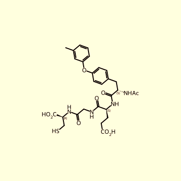 CC(=O)N[C@@H](Cc1ccc(Oc2cccc(C)c2)cc1)C(=O)N[C@@H](CCC(=O)O)C(=O)NCC(=O)N[C@@H](CS)C(=O)O